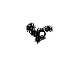 CC[C@H]1CCC[C@H](O[C@H]2CC[C@H](N(C)C)C(C)O2)[C@@H](C)C(=O)C2=C[C@@H]3[C@@H](C(c4ccc(F)cc4)C=C4C[C@@H](O[C@@H]5OC(C)[C@H](OC)C(OC)C5OC)C[C@H]43)[C@@H]2CC(=O)O1